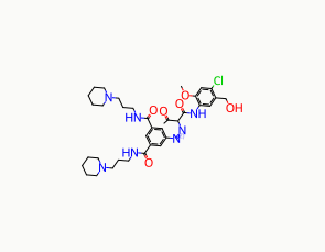 COc1cc(Cl)c(CO)cc1NC(=O)C(/N=N\c1cc(C(=O)NCCCN2CCCCC2)cc(C(=O)NCCCN2CCCCC2)c1)C(C)=O